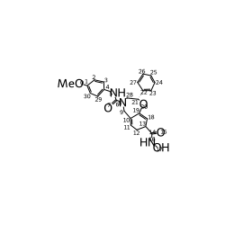 COc1ccc(NC(=O)N2CC3=CCC(C(=O)NO)C=C3O[C@@H](c3ccccc3)C2)cc1